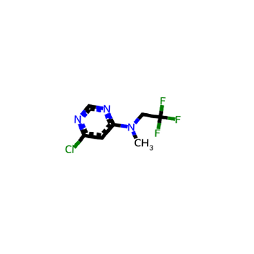 CN(CC(F)(F)F)c1cc(Cl)ncn1